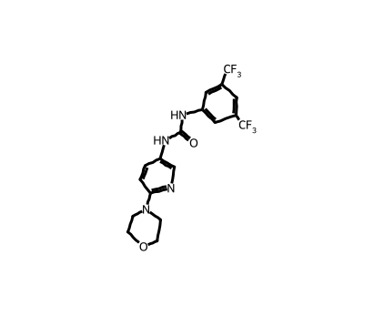 O=C(Nc1ccc(N2CCOCC2)nc1)Nc1cc(C(F)(F)F)cc(C(F)(F)F)c1